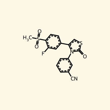 CS(=O)(=O)c1ccc(-c2csc(=O)n2-c2cccc(C#N)c2)cc1F